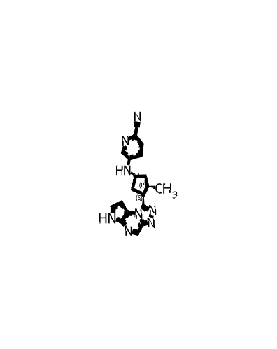 C[C@@H]1C[C@H](Nc2ccc(C#N)nc2)C[C@@H]1c1nnc2cnc3[nH]ccc3n12